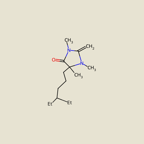 C=C1N(C)C(=O)C(C)(CCCC(CC)CC)N1C